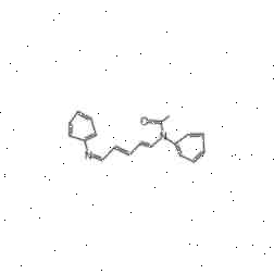 CC(=O)N(/C=C/C=C/C=N\c1ccccc1)c1ccccc1